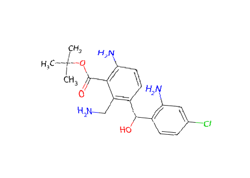 CC(C)(C)OC(=O)c1c(N)ccc(C(O)c2ccc(Cl)cc2N)c1CN